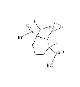 CC1(C(=O)O)C=CCC(C(=O)O)(C(F)F)C1C1CC1